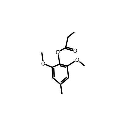 CCC(=O)Oc1c(OC)cc(C)cc1OC